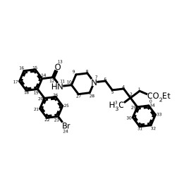 CCOC(=O)CC(C)(CCCN1CCC(NC(=O)c2ccccc2-c2ccc(Br)cc2)CC1)c1ccccc1